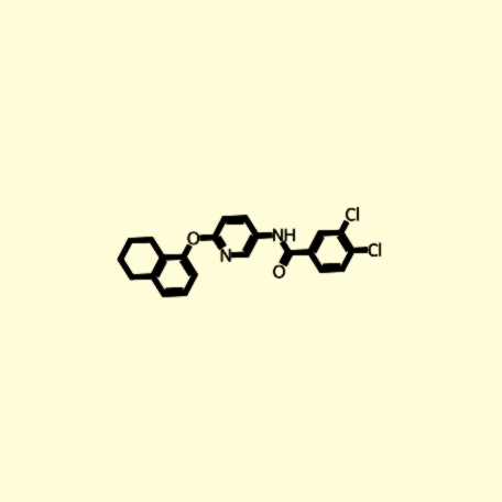 O=C(Nc1ccc(Oc2cccc3c2CCCC3)nc1)c1ccc(Cl)c(Cl)c1